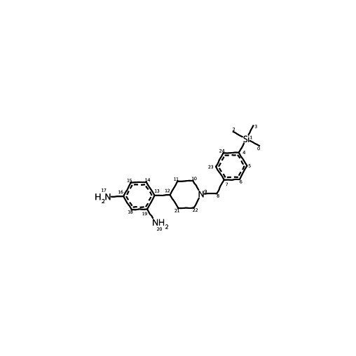 C[Si](C)(C)c1ccc(CN2CCC(c3ccc(N)cc3N)CC2)cc1